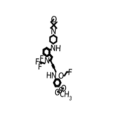 CS(=O)(=O)c1ccc(NCC#Cc2cc3c(N[C@H]4CC[C@H](N5CC6(COC6)C5)CC4)cccc3n2CC(F)(F)F)c(OCCF)c1